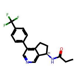 CCC(=O)N[C@@H]1CCc2c(-c3ccc(C(F)(F)F)cc3)cncc21